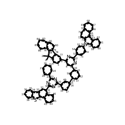 CC1(C)c2ccc(-c3cc(-c4cccc(-c5cccc(-c6nc(-c7ccccc7)nc(-c7cc8c9ccccc9sc8c8ccccc78)n6)c5)c4)nc(-c4ccc(-n5c6ccccc6c6c7ccccc7ccc65)cc4)n3)cc2-c2ccc3ccccc3c21